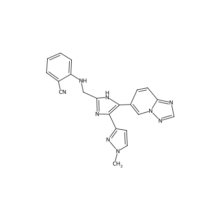 Cn1ccc(-c2nc(CNc3ccccc3C#N)[nH]c2-c2ccc3ncnn3c2)n1